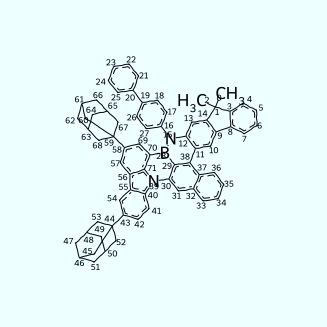 CC1(C)c2ccccc2-c2cc3c(cc21)N(c1ccc(-c2ccccc2)cc1)B1c2c(cc4ccccc4c2-3)-n2c3ccc(C45CC6CC(CC(C6)C4)C5)cc3c3cc(C45CC6CC(CC(C6)C4)C5)cc1c32